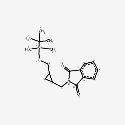 CC(C)(C)[Si](C)(C)OCC1CC1CN1C(=O)c2ccccc2C1=O